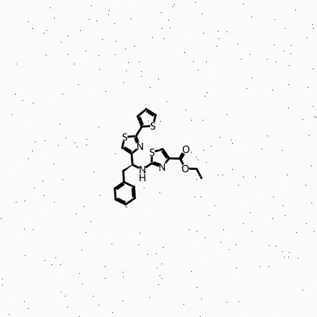 CCOC(=O)c1csc(N[C@@H](Cc2cc[c]cc2)c2csc(-c3cccs3)n2)n1